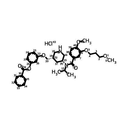 COCCCOc1cc(C(=O)N(C(C)C)[C@H]2CNC[C@@H](COc3cccc(OC(=O)c4ccccc4)c3)C2)ccc1OC.Cl